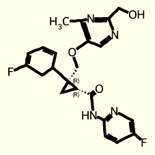 Cc1nc(CO)ncc1OC[C@@]1(C2C=CC=C(F)C2)C[C@H]1C(=O)Nc1ccc(F)cn1